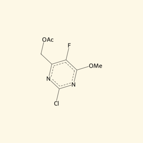 COc1nc(Cl)nc(COC(C)=O)c1F